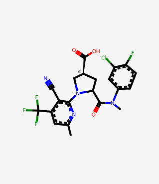 Cc1cc(C(F)(F)F)c(C#N)c(N2C[C@@H](C(=O)O)CC2C(=O)N(C)c2ccc(F)c(Cl)c2)n1